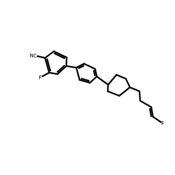 N#Cc1ccc(-c2ccc(C3CCC(CCC=CF)CC3)cc2)cc1F